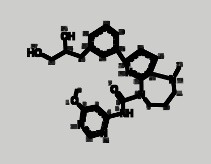 COc1cc(NC(=O)N2CCCN(C)c3ccc(-c4cccc(CC(O)CO)c4)nc32)ncn1